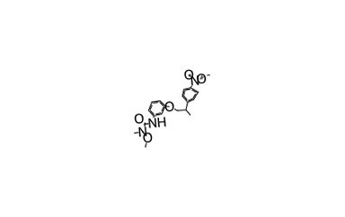 CON(C)C(=O)Nc1cccc(OCC(C)c2ccc([N+](=O)[O-])cc2)c1